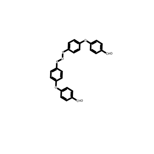 O=Cc1ccc(Oc2ccc(SOSc3ccc(Oc4ccc(C=O)cc4)cc3)cc2)cc1